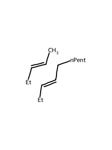 CC=CCC.CCC=CCCCCCC